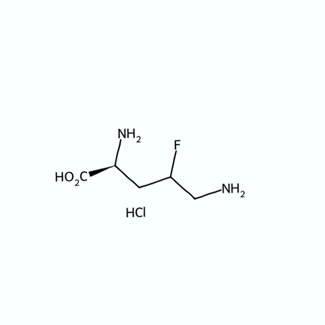 Cl.NCC(F)C[C@H](N)C(=O)O